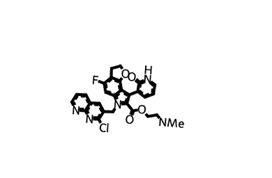 CNCCOC(=O)c1c(-c2ccc[nH]c2=O)c2c3c(c(F)cc2n1Cc1cc2cccnc2nc1Cl)CCO3